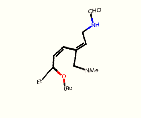 CCC(/C=C\C(=C/CNC=O)CNC)OC(C)(C)C